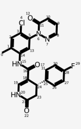 Cc1cc(Cl)c(-n2ncccc2=O)cc1NC(=O)C1=CNC(=O)C[C@H]1c1ccc(F)cc1